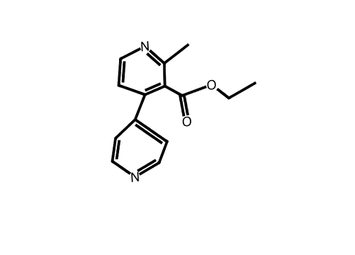 CCOC(=O)c1c(-c2ccncc2)ccnc1C